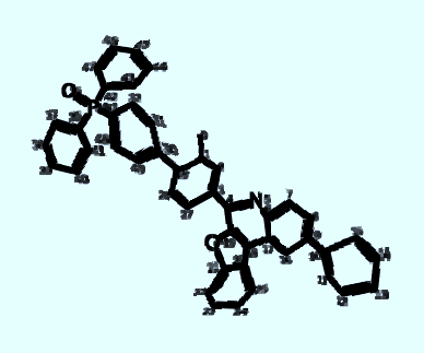 CC1C=C(c2nc3ccc(-c4ccccc4)cc3c3c2oc2ccccc23)C=CC1c1ccc(P(=O)(c2ccccc2)c2ccccc2)cc1